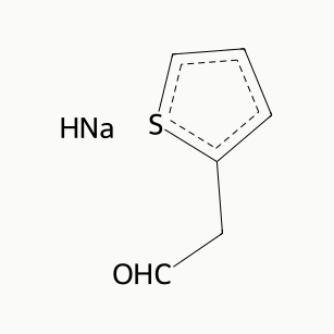 O=CCc1cccs1.[NaH]